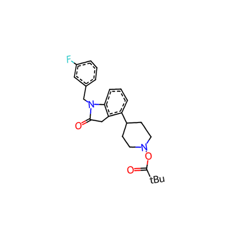 CC(C)(C)C(=O)ON1CCC(c2cccc3c2CC(=O)N3Cc2cccc(F)c2)CC1